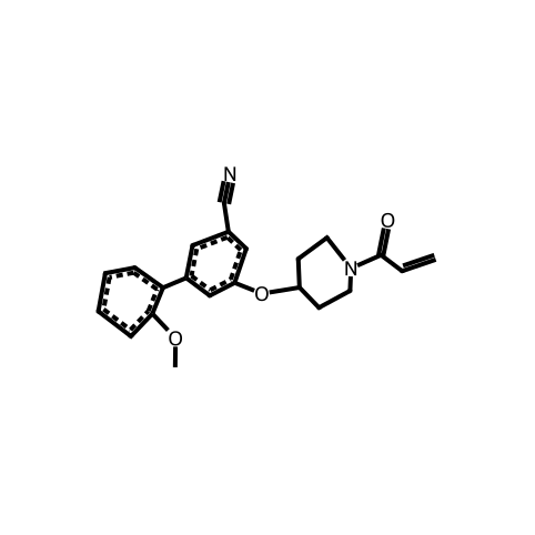 C=CC(=O)N1CCC(Oc2cc(C#N)cc(-c3ccccc3OC)c2)CC1